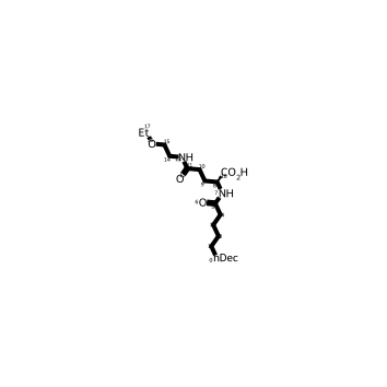 CCCCCCCCCCCCCCC(=O)N[C@@H](CCC(=O)NCCOCC)C(=O)O